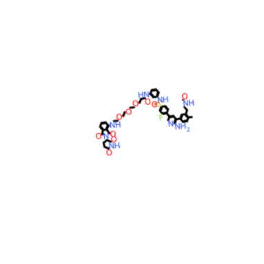 Cc1ccc(-c2cc(-c3ccc([S+]([O-])Nc4cccc(NC(=O)CCOCCOCCOCCNc5cccc6c5C(=O)N(C5CCC(=O)NC5=O)C6=O)c4)cc3F)cnc2N)cc1CCNC=O